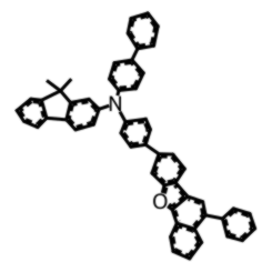 CC1(C)c2ccccc2-c2ccc(N(c3ccc(-c4ccccc4)cc3)c3ccc(-c4ccc5c(c4)oc4c6ccccc6c(-c6ccccc6)cc54)cc3)cc21